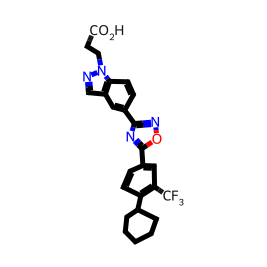 O=C(O)CCn1ncc2cc(-c3noc(-c4ccc(C5CCCCC5)c(C(F)(F)F)c4)n3)ccc21